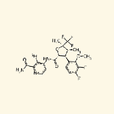 [2H]c1c(NC(=O)[C@@H]2O[C@@](C)(C(F)(F)F)[C@@H](C)[C@H]2c2ccc(F)c(F)c2OC)ccnc1C(N)=O